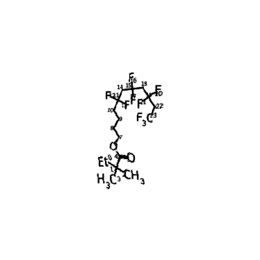 CCC(C)(C)C(=O)OCCCCC(F)(F)CC(F)(F)CC(F)(F)CC(F)(F)F